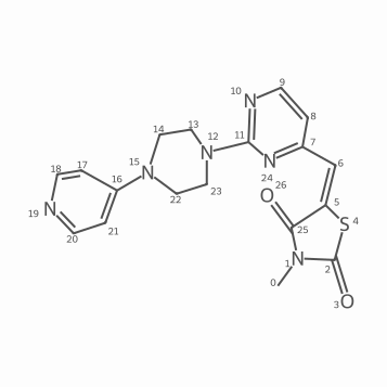 CN1C(=O)SC(=Cc2ccnc(N3CCN(c4ccncc4)CC3)n2)C1=O